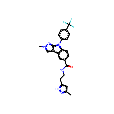 Cc1cc(CCNC(=O)c2ccc3c(c2)c2cn(C)nc2n3-c2ccc(C(F)(F)F)cc2)[nH]n1